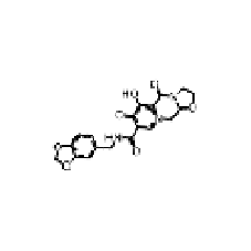 O=C(NCc1ccc2c(c1)OCO2)c1cn2c(c(O)c1=O)C(=O)N1CCOC1C2